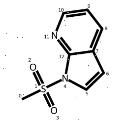 CS(=O)(=O)n1ccc2cccnc21